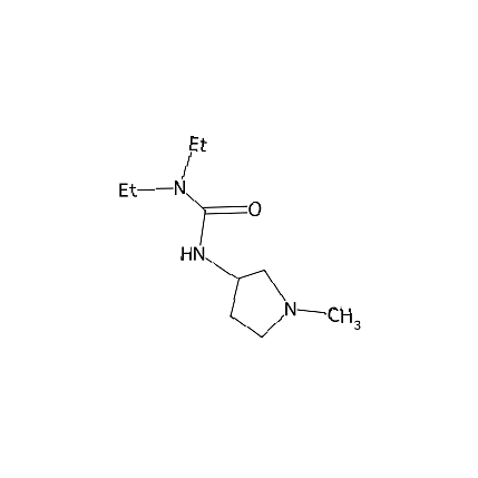 CCN(CC)C(=O)NC1CCN(C)C1